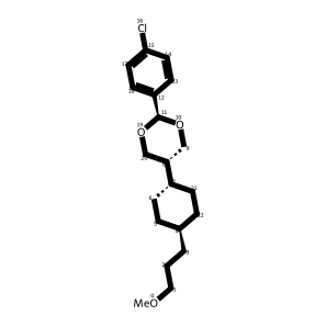 COCCC[C@H]1CC[C@H]([C@H]2CO[C@H](c3ccc(Cl)cc3)OC2)CC1